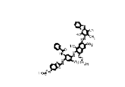 Cc1c(N=Nc2cc3c(O)c(N=Nc4cc(NC(=O)c5ccccc5)c(N=Nc5nc6ccc(SOOO)cc6s5)cc4S(=O)(=O)O)c(SOOO)cc3cc2S(=O)(=O)O)c(O)n2c(nc3ccccc32)c1C#N